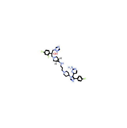 Nc1nccc(-c2c(-c3ccc(F)cc3)ncn2C2CCN(CCCNC3[C@H]4CN(C[C@](O)(Cn5cncn5)c5ccc(F)cc5F)C[C@@H]34)CC2)n1